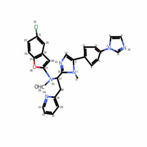 Cn1c(-c2ccc(-n3ccnc3)cc2)cnc1C(Cc1ccccn1)N(C=O)c1cc2cc(Cl)ccc2o1